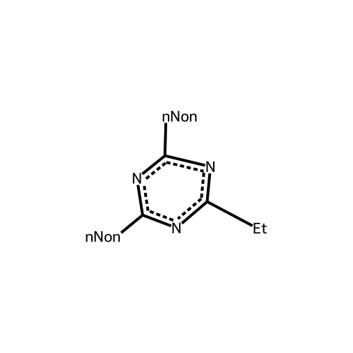 [CH2]Cc1nc(CCCCCCCCC)nc(CCCCCCCCC)n1